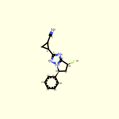 N#CC1CC1c1nc2n(n1)[C@H](c1ccccc1)C[C@@H]2F